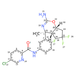 C[C@]1(c2cc(NC(=O)c3ccc(Cl)cn3)ccc2F)N=C(N)O[C@@H]2CC(F)(F)C[C@@H]21